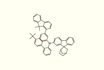 CC(C)(C)c1ccc(-c2ccccc2N(c2cccc(-c3cccc4c3C(C)(C)c3ccccc3-4)c2)c2ccc3c(c2)C2(CC4CCC2C4)c2ccccc2-3)cc1